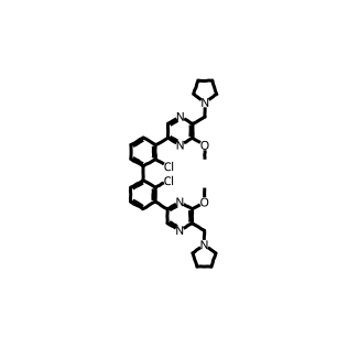 COc1nc(-c2cccc(-c3cccc(-c4cnc(CN5CCCC5)c(OC)n4)c3Cl)c2Cl)cnc1CN1CCCC1